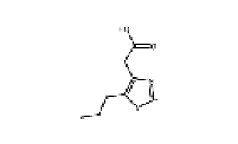 CCCc1s[c]nc1CC(=O)O